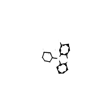 O[C@@H]1C(N2c3ccccc3Oc3ccc(F)cc32)CCC[C@@H]1O